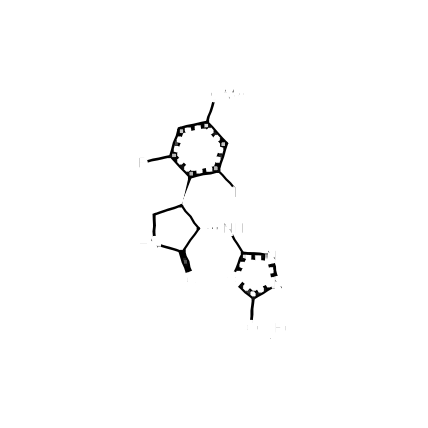 CCOC(=O)c1nnc(N[C@@H]2C(=O)NC[C@H]2c2c(F)cc(OC)cc2F)o1